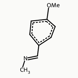 CN=Cc1ccc(OC)cc1